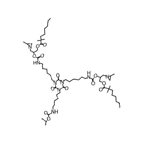 CCCCCCC(C)(C)C(=O)OCC(CN1CC1C)OC(=O)NCCCCCCn1c(=O)n(CCCCCCNC(=O)OC(C)C)c(=O)n(CCCCCCNC(=O)OC(COC(=O)C(C)(C)CCCCCC)CN2CC2C)c1=O